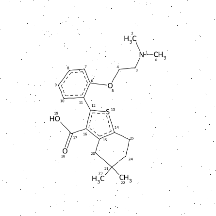 CN(C)CCOc1ccccc1-c1sc2c(c1C(=O)O)CC(C)(C)CC2